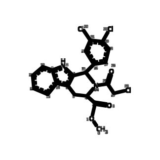 COC(=O)C1Cc2c([nH]c3ccccc23)C(c2ccc(Cl)c(Cl)c2)N1C(=O)CCl